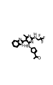 CC(=O)C1=CC[C@H](Nc2nc(NCC(F)(F)F)nc(C)c2-c2nc3ccccc3s2)C1